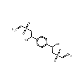 C=CS(=O)(=O)CC(O)c1ccc(C(O)CS(=O)(=O)C=C)cc1